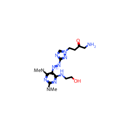 CNc1nc(NC)c(/N=N/c2ncn(CCC(=O)CN)n2)c(NCCO)n1